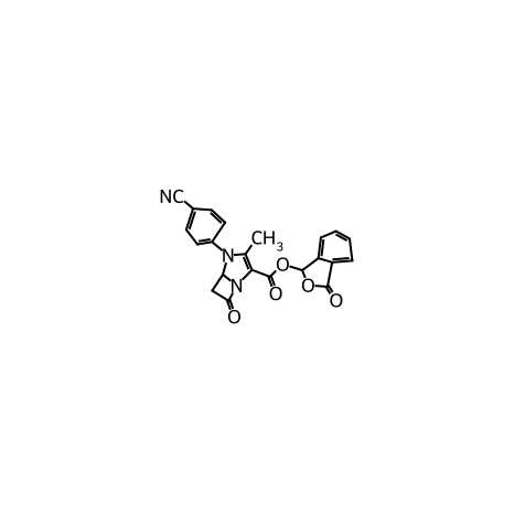 CC1=C(C(=O)OC2OC(=O)c3ccccc32)N2C(=O)CC2N1c1ccc(C#N)cc1